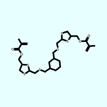 C=C(C)C(=O)OCC1CSC(CSCC2CCCC(CSCC3SCC(COC(=O)C(=C)C)S3)C2)S1